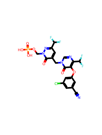 N#Cc1cc(Cl)cc(Oc2c(C(F)F)ncn(Cc3cc(C(F)F)nn(COP(=O)(O)O)c3=O)c2=O)c1